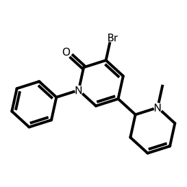 CN1CC=CCC1c1cc(Br)c(=O)n(-c2ccccc2)c1